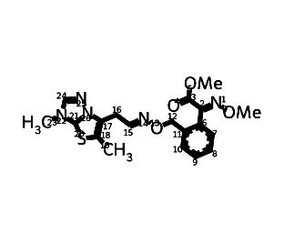 CO/N=C(/C(=O)OC)c1ccccc1CON=CCC1=C(C)SC2N(C)C=NN12